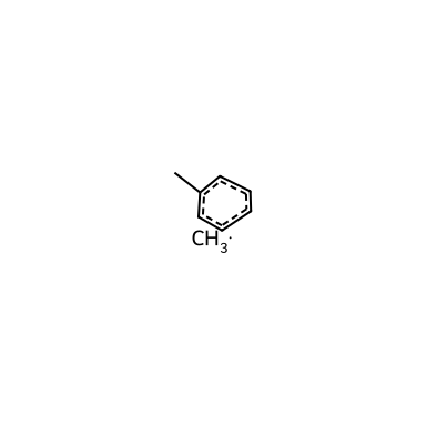 Cc1ccccc1.[CH3]